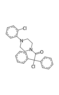 O=C(N1CCN(c2ccccc2Cl)CC1)C(Cl)(c1ccccc1)c1ccccc1